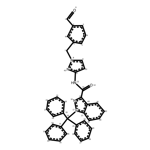 O=Cc1cccc(Cn2ccc(NC(=O)c3nn(C(c4ccccc4)(c4ccccc4)c4ccccc4)c4ccccc34)n2)c1